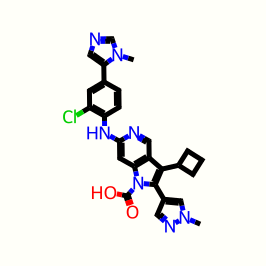 Cn1cc(-c2c(C3CCC3)c3cnc(Nc4ccc(-c5cncn5C)cc4Cl)cc3n2C(=O)O)cn1